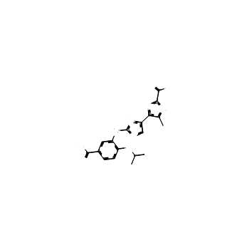 Cc1nc(C(=O)O)sc1-c1csc(Nc2cc(C(N)=O)ccc2OC(C)C)n1